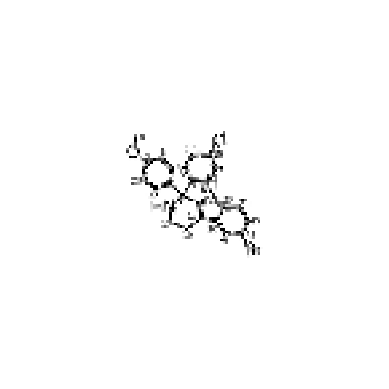 COc1ccc(C2(c3ccc(Cl)cc3)NCCc3c2[nH]c2ccc(Br)cc32)cc1